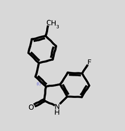 Cc1ccc(/C=C2/C(=O)Nc3ccc(F)cc32)cc1